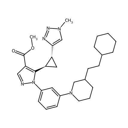 COC(=O)c1cnn(-c2cccc(N3CCCC(CCC4CCCCC4)C3)c2)c1[C@@H]1C[C@H]1c1cn(C)nn1